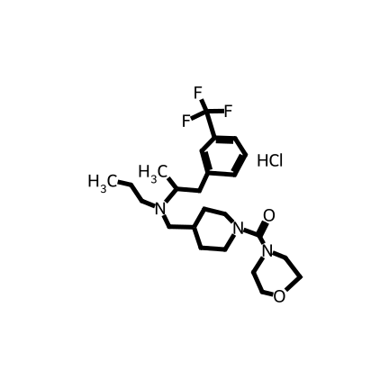 CCCN(CC1CCN(C(=O)N2CCOCC2)CC1)C(C)Cc1cccc(C(F)(F)F)c1.Cl